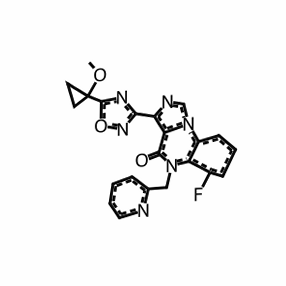 COC1(c2nc(-c3ncn4c3c(=O)n(Cc3ccccn3)c3c(F)cccc34)no2)CC1